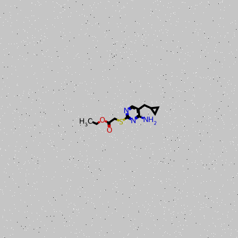 CCOC(=O)CSc1ncc(CC2CC2)c(N)n1